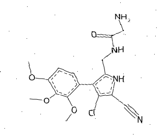 COc1ccc(-c2c(CNC(=O)CN)[nH]c(C#N)c2Cl)c(OC)c1OC